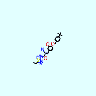 CCc1nnc(NC(=O)/C(C#N)=C/c2ccc(OCc3ccc(C(C)(C)C)cc3)c(OC)c2)s1